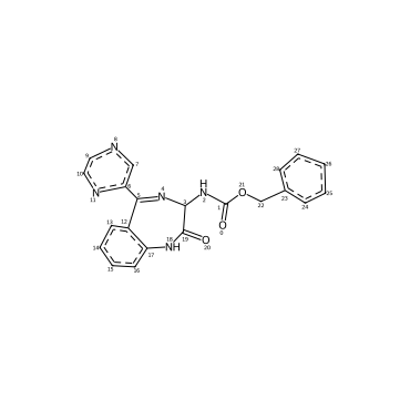 O=C(NC1N=C(c2cnccn2)c2ccccc2NC1=O)OCc1ccccc1